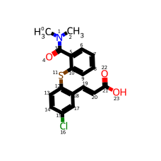 CN(C)C(=O)c1ccccc1Sc1ccc(Cl)cc1/C=C/C(=O)O